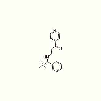 CC(C)(C)C(NCCC(=O)c1ccncc1)c1ccccc1